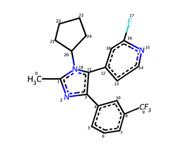 Cc1nc(-c2cccc(C(F)(F)F)c2)c(-c2ccnc(F)c2)n1C1CCCC1